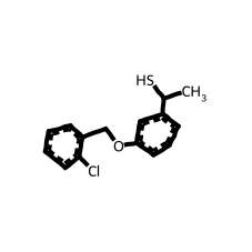 CC(S)c1cccc(OCc2ccccc2Cl)c1